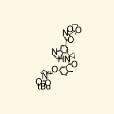 Cc1ccc(OC[C@@H]2CCN2C(=O)OC(C)(C)C)cc1C(=O)NC1(c2cc(-c3cnc(C4(C)OCCO4)o3)cc3ncccc23)CC1